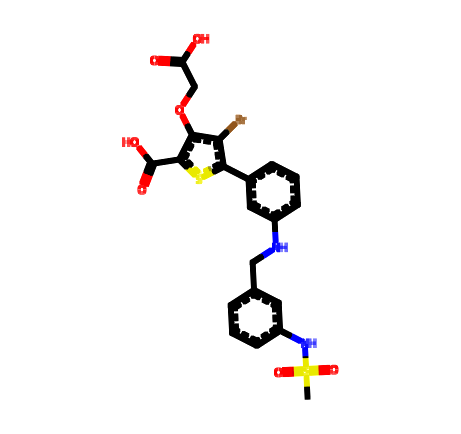 CS(=O)(=O)Nc1cccc(CNc2cccc(-c3sc(C(=O)O)c(OCC(=O)O)c3Br)c2)c1